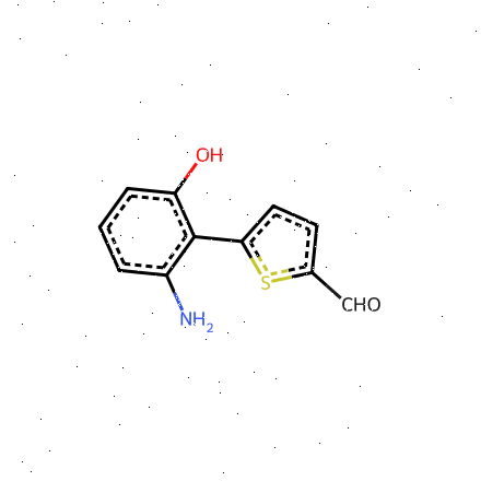 Nc1cccc(O)c1-c1ccc(C=O)s1